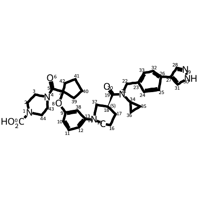 O=C(O)N1CCN(C(=O)C2(Oc3cccc(N4CCC[C@H](C(=O)N(Cc5ccc(-c6cn[nH]c6)cc5)C5CC5)C4)c3)CCCC2)CC1